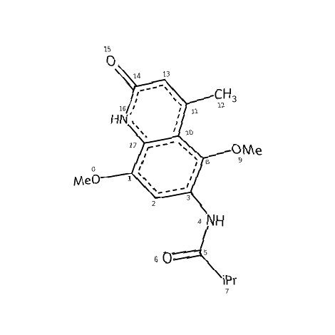 COc1cc(NC(=O)C(C)C)c(OC)c2c(C)cc(=O)[nH]c12